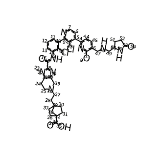 COc1nc(-c2ccnc(-c3cccc(NC(=O)c4nc5c(n4C)CCN(CCC46CCC(C(=O)O)(CC4)C6)C5)c3Cl)c2Cl)ccc1CNC[C@H]1CCC(=O)N1